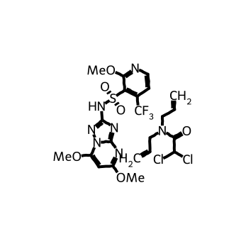 C=CCN(CC=C)C(=O)C(Cl)Cl.COc1cc(OC)n2nc(NS(=O)(=O)c3c(C(F)(F)F)ccnc3OC)nc2n1